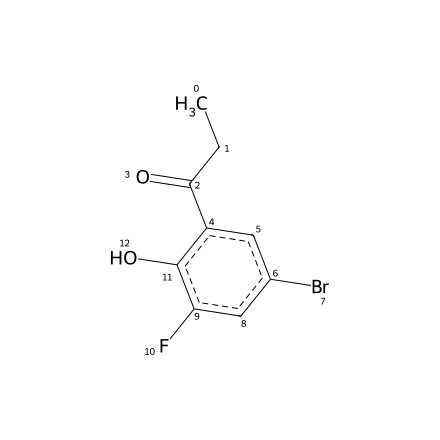 CCC(=O)c1cc(Br)cc(F)c1O